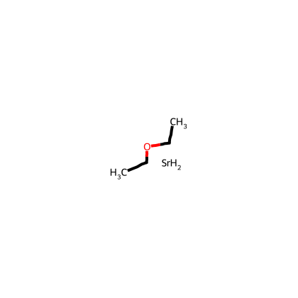 CCOCC.[SrH2]